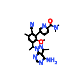 COc1c(C(C)n2nc(C)c3c(N)ncnc32)cc(C)c(C#N)c1-c1ccc(C(=O)N(C)C)nc1